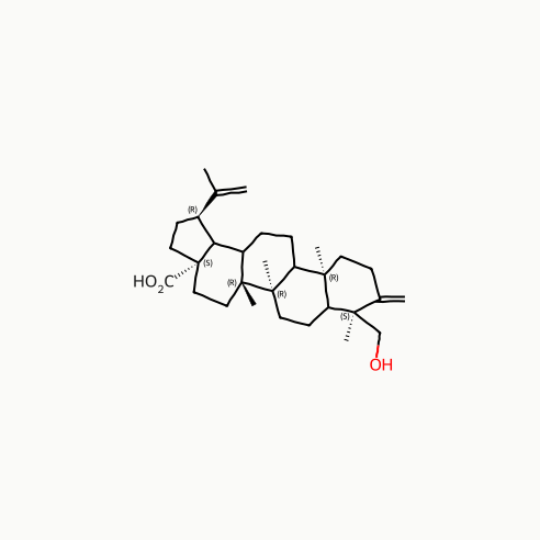 C=C(C)[C@@H]1CC[C@]2(C(=O)O)CC[C@]3(C)C(CCC4[C@@]5(C)CCC(=C)[C@@](C)(CO)C5CC[C@]43C)C12